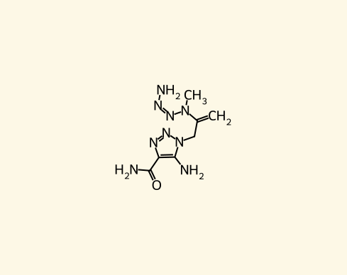 C=C(Cn1nnc(C(N)=O)c1N)N(C)/N=N\N